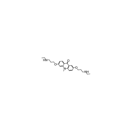 CCNCCCOc1ccc2c(c1)c(=O)c1ccc(OCCCNCC)cc1n2C